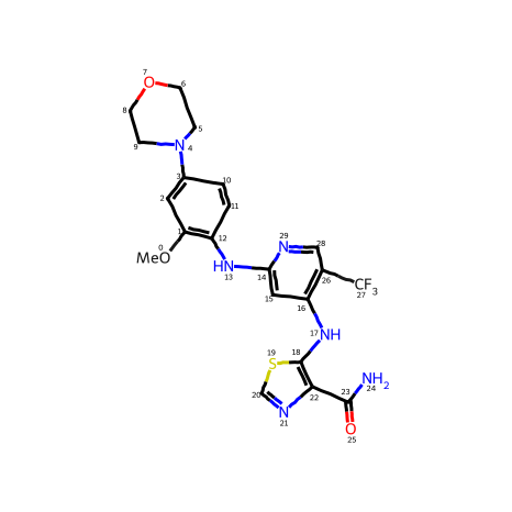 COc1cc(N2CCOCC2)ccc1Nc1cc(Nc2scnc2C(N)=O)c(C(F)(F)F)cn1